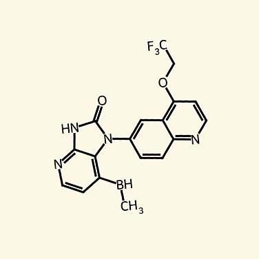 CBc1ccnc2[nH]c(=O)n(-c3ccc4nccc(OCC(F)(F)F)c4c3)c12